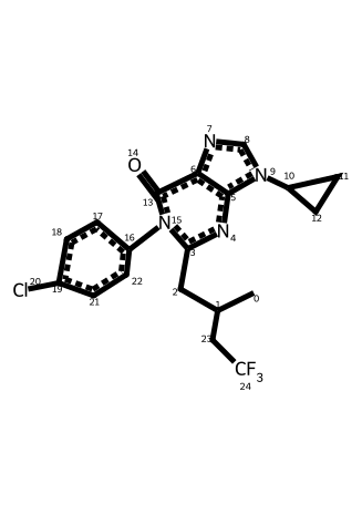 CC(Cc1nc2c(ncn2C2CC2)c(=O)n1-c1ccc(Cl)cc1)CC(F)(F)F